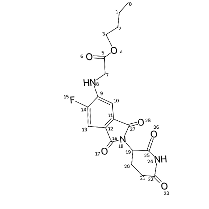 CCCCOC(=O)CNc1cc2c(cc1F)C(=O)N(C1CCC(=O)NC1=O)C2=O